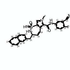 Cn1cc2c(c1C(=O)Nc1ccc(F)c(C#N)c1)C=CC(Cc1ccc3ccccc3c1)NS2(=N)=O